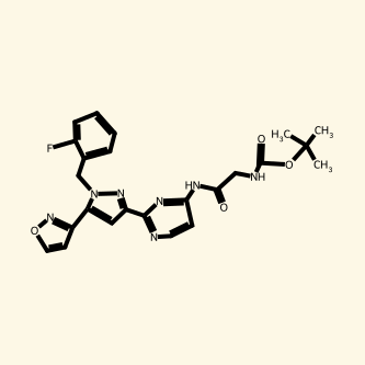 CC(C)(C)OC(=O)NCC(=O)Nc1ccnc(-c2cc(-c3ccon3)n(Cc3ccccc3F)n2)n1